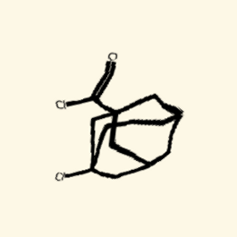 O=C(Cl)C12CC3CC(CC(Cl)(C3)C1)C2